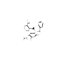 CCCOC(=O)C1=C(C(=O)N(C(=O)c2ccccc2)c2cc(SC(C)C(=O)OC)c(Cl)cc2F)CCCC1